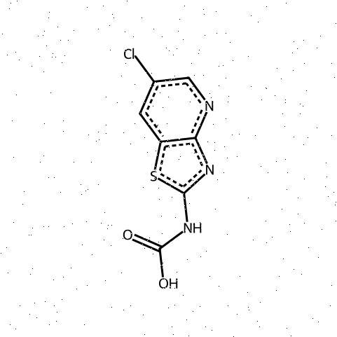 O=C(O)Nc1nc2ncc(Cl)cc2s1